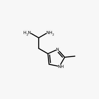 Cc1nc(CC(N)N)c[nH]1